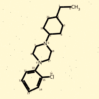 CCC1CCC(N2CCN(c3ccccc3Cl)CC2)CC1